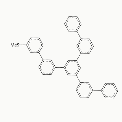 CSc1cccc(-c2cccc(-c3cc(-c4cccc(-c5ccccc5)c4)cc(-c4cccc(-c5ccccc5)c4)c3)c2)c1